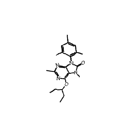 CCC(CC)Oc1nc(C)nc2c1n(C)c(=O)n2-c1c(C)cc(C)cc1C